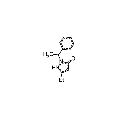 CCc1cc(=O)n(C(C)c2ccccc2)[nH]1